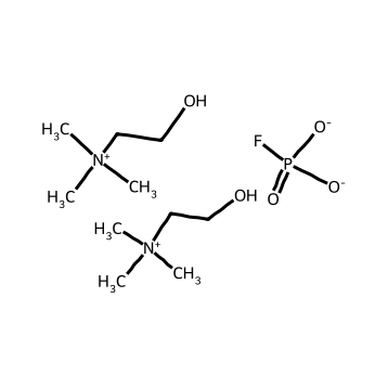 C[N+](C)(C)CCO.C[N+](C)(C)CCO.O=P([O-])([O-])F